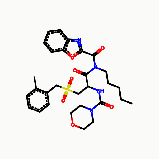 CCCCCN(C(=O)c1nc2ccccc2o1)C(=O)C(CS(=O)(=O)Cc1ccccc1C)NC(=O)N1CCOCC1